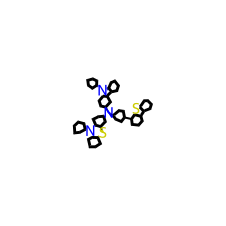 c1ccc(N2c3ccccc3Sc3cc(N(c4ccc(-c5cccc6c5sc5ccccc56)cc4)c4ccc5c(c4)c4ccccc4n5-c4ccccc4)ccc32)cc1